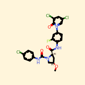 CO[C@@H]1C[C@H](C(=O)Nc2ccc(-n3cc(Cl)cc(Cl)c3=O)cc2F)N(C(=O)Nc2ccc(Cl)cc2)C1